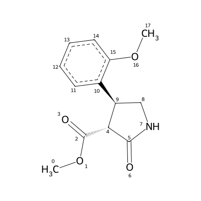 COC(=O)[C@H]1C(=O)NC[C@@H]1c1ccccc1OC